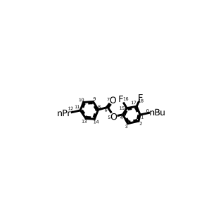 CCCCc1ccc(OC(=O)c2ccc(CCC)cc2)c(F)c1F